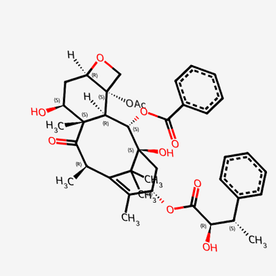 CC(=O)O[C@@]12CO[C@@H]1C[C@H](O)[C@@]1(C)C(=O)[C@H](C)C3=C(C)[C@@H](OC(=O)[C@H](O)[C@@H](C)c4ccccc4)C[C@@](O)([C@@H](OC(=O)c4ccccc4)[C@H]21)C3(C)C